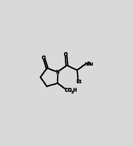 CCCCC(CC)C(=O)N1C(=O)CCC1C(=O)O